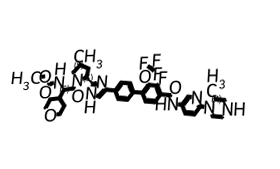 COC(=O)N[C@H](C(=O)N1C[C@@H](C)C[C@H]1c1nc(-c2ccc(-c3ccc(C(=O)Nc4ccc(N5CCNC[C@H]5C)nc4)c(F)c3OC(F)(F)F)cc2)c[nH]1)C1CCOCC1